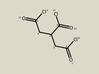 O=C(Cl)CC(CC(=O)Cl)C(=O)Cl